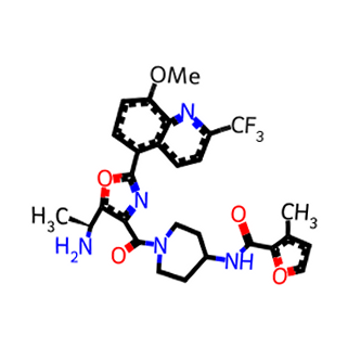 COc1ccc(-c2nc(C(=O)N3CCC(NC(=O)c4occc4C)CC3)c([C@H](C)N)o2)c2ccc(C(F)(F)F)nc12